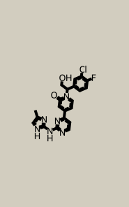 Cc1c[nH]c(Nc2nccc(-c3ccn(C(CO)c4ccc(F)c(Cl)c4)c(=O)c3)n2)n1